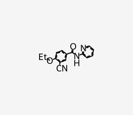 CCOc1ccc(C(=O)Nc2ccccn2)cc1C#N